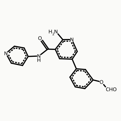 Nc1ncc(-c2cccc(OC=O)c2)cc1C(=O)Nc1ccncc1